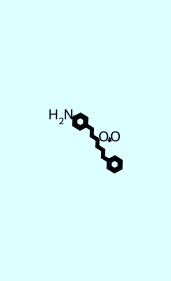 Nc1ccc(CCC(CCCc2ccccc2)OC=O)cc1